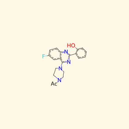 CC(=O)N1CCN(c2nc(-c3ccccc3O)nc3ccc(F)cc23)CC1